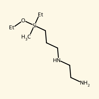 CCO[Si](C)(CC)CCCNCCN